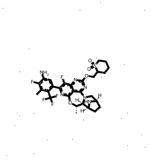 Cc1c(F)c(N)cc(-c2nc3c4c(nc(OCC5CCCCS5(=O)=O)nc4c2F)N2C[C@H]4CC[C@H](N4)[C@H]2[C@H](C)O3)c1C(F)(F)F